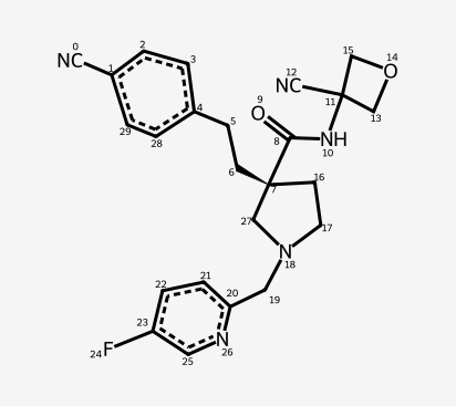 N#Cc1ccc(CC[C@@]2(C(=O)NC3(C#N)COC3)CCN(Cc3ccc(F)cn3)C2)cc1